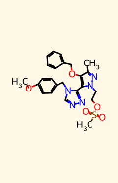 COc1ccc(Cn2cnnc2-c2c(OCc3ccccc3)c(C)nn2CCOS(C)(=O)=O)cc1